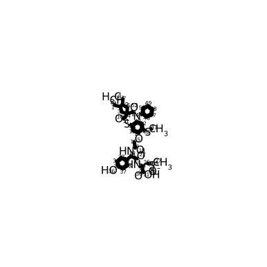 CCCCC1(CCCC)C(=O)Sc2cc(OCC(=O)NC(C(=O)N[C@@H](C[S@+](C)[O-])C(=O)O)c3ccc(O)cc3)c(SC)cc2N(c2ccccc2)C1=O